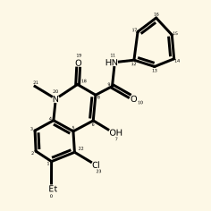 CCc1ccc2c(c(O)c(C(=O)Nc3ccccc3)c(=O)n2C)c1Cl